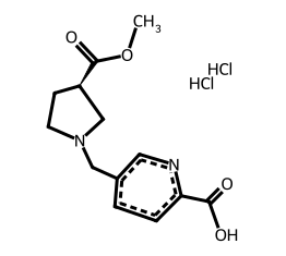 COC(=O)[C@@H]1CCN(Cc2ccc(C(=O)O)nc2)C1.Cl.Cl